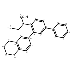 CC(C)(C)CC(C(=O)O)c1ccc(-c2ccccc2)cc1-c1ccc2c(c1)CCCO2